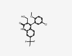 COc1ccc(Cl)cc1-c1c(CO)c(=O)[nH]c2cc(C(F)(F)F)ccc12